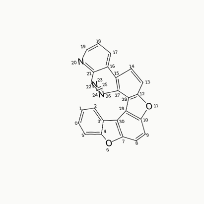 c1ccc2c(c1)oc1ccc3oc4ccc5c6cccnc6c6nccn6c5c4c3c12